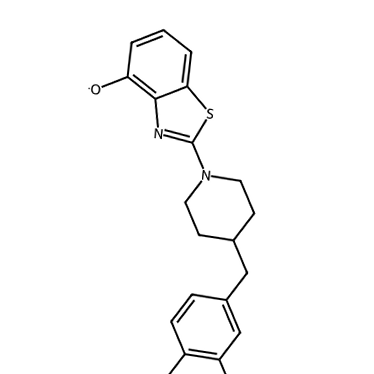 [O]c1cccc2sc(N3CCC(Cc4ccc(Cl)c(Cl)c4)CC3)nc12